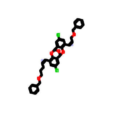 Clc1cc(/C=C\CCCOCc2ccccc2)c2c(c1)C1Oc3c(/C=C\COCc4ccccc4)cc(Cl)cc3C(O2)O1